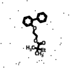 CCC(C)(C)C(=O)OCCOc1ccccc1-c1ccccc1